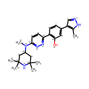 Cc1[nH]ncc1-c1ccc(-c2ccc(N(C)C3CC(C)(C)NC(C)(C)C3)nn2)c(O)c1